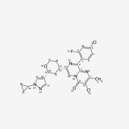 Cc1nc2c(-c3ccc(Cl)cc3F)nc([C@H]3CCO[C@@H](c4cnn(C5CC5)c4)C3)cn2c(=O)c1Cl